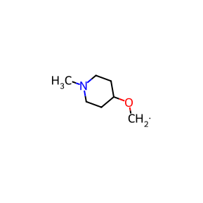 [CH2]OC1CCN(C)CC1